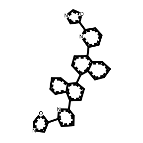 c1cc(-c2cnco2)nc(-c2ccc(-c3ccc(-c4cccc(-c5cnco5)n4)c4ccccc34)c3ccccc23)c1